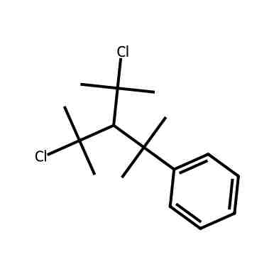 CC(C)(Cl)C(C(C)(C)Cl)C(C)(C)c1ccccc1